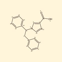 O=C(O)c1cn(C(Cc2ccccc2)c2ccccc2)cn1